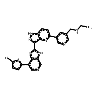 CCNCc1cncc(-c2ccc3[nH]nc(-c4nc5c(-c6ccc(Cl)s6)cncc5[nH]4)c3n2)c1